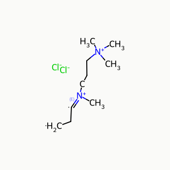 [CH2]C/[C]=[N+](\C)CCC[N+](C)(C)C.[Cl-].[Cl-]